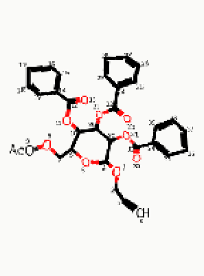 C#CCOC1OC(COOC(C)=O)C(OC(=O)c2ccccc2)C(OC(=O)c2ccccc2)C1OC(=O)c1ccccc1